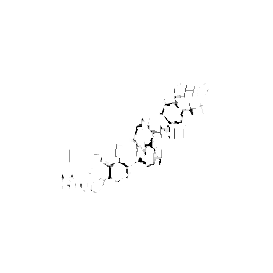 CCc1cc(Nc2nccn3c(C4=C(F)C(P)=C(OC)CC4)cnc23)ccc1C=O